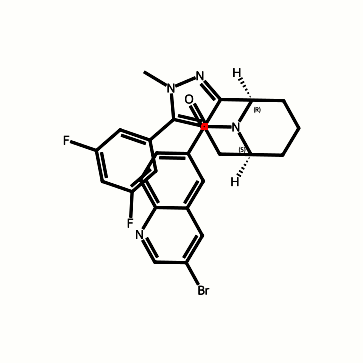 Cn1nc2c(c1-c1cc(F)cc(F)c1)C[C@@H]1CCC[C@H]2N1C(=O)c1ccc2ncc(Br)cc2c1